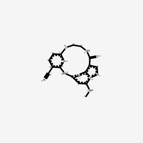 CNc1cc2nc3c(cnn13)C(=O)NCCOc1ccc(C#N)c(n1)N2